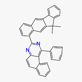 CC1(C)c2ccccc2-c2cc3cccc(-c4nc(-c5ccccc5)c5c(ccc6ccccc65)n4)c3cc21